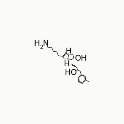 Cc1cccc(C[C@@H](O)/C=C/[C@@H]2[C@H]3CC(CCCCCN)=C[C@H]3C[C@H]2O)c1